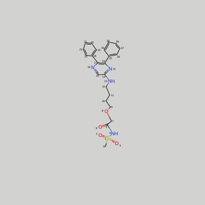 CS(=O)(=O)NC(=O)COCCCCNc1cnc(-c2ccccc2)c(-c2ccccc2)n1